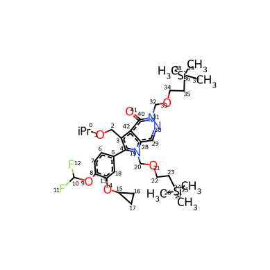 CC(C)OCc1c(-c2ccc(OC(F)F)c(OC3CC3)c2)n(COCC[Si](C)(C)C)c2cnn(COCC[Si](C)(C)C)c(=O)c12